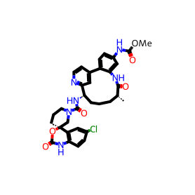 COC(=O)Nc1ccc2c(c1)NC(=O)[C@H](C)CCC[C@H](NC(=O)N1CCC[C@@]3(C1)OC(=O)Nc1ccc(Cl)cc13)c1cc-2ccn1